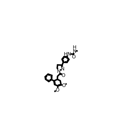 CNC(=O)Nc1ccc(C2=NN(C(=O)CC3CC(OC)=C(OC)C=C3c3ccccc3)CC2)cc1